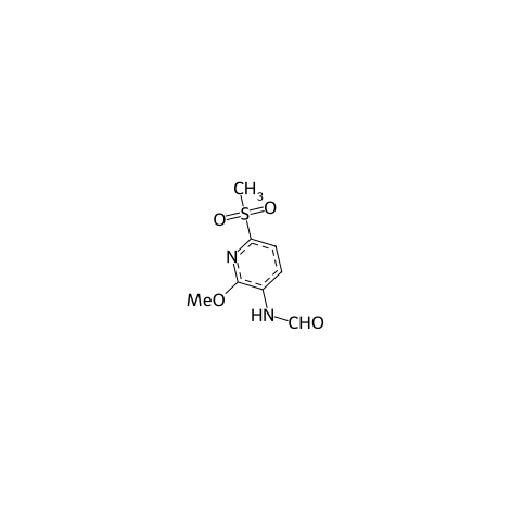 COc1nc(S(C)(=O)=O)ccc1NC=O